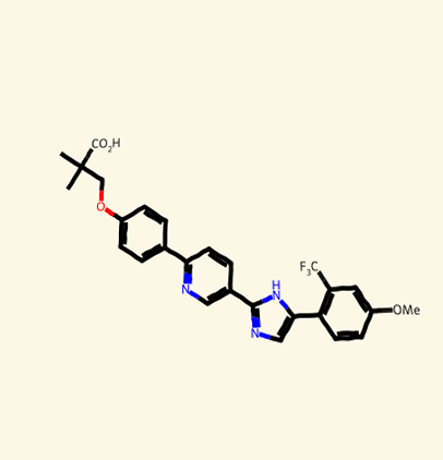 COc1ccc(-c2cnc(-c3ccc(-c4ccc(OCC(C)(C)C(=O)O)cc4)nc3)[nH]2)c(C(F)(F)F)c1